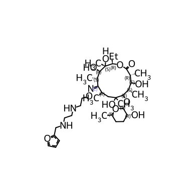 CC[C@H]1OC(=O)[C@H](C)[C@@H](O)[C@H](C)[C@@H](O[C@@H]2O[C@H](C)CC[C@H]2O)C(C)(O)C[C@@H](C)/C(=N\OCCNCCNCc2ccco2)[C@H](C)[C@@H](O)[C@]1(C)O